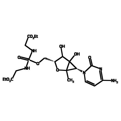 CCOC(=O)CNP(=O)(NCC(=O)OCC)OC[C@H]1OC2(C)[C@@H](n3ccc(N)nc3=O)C2(O)C1O